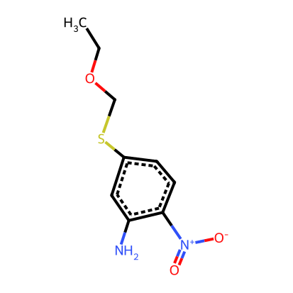 CCOCSc1ccc([N+](=O)[O-])c(N)c1